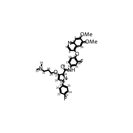 COc1cc2nccc(Oc3ccc(NC(=O)c4nn(-c5ccc(F)cc5)cc4OCCCN(C)C)cc3F)c2cc1OC